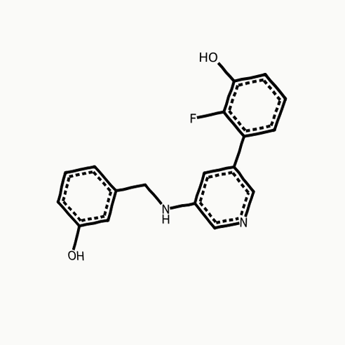 Oc1cccc(CNc2cncc(-c3cccc(O)c3F)c2)c1